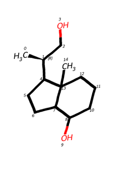 C[C@@H](CO)C1CCC2C(O)CCCC21C